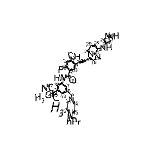 CCCN1CCN(Cc2cc(NC(=O)c3cc(C#Cc4cnc5c(Nc6cn[nH]c6)cccn45)c(C)cc3F)cc(C(C)(C)C#N)c2)CC1